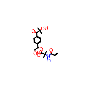 C=CC(=O)NC(C)(C)C(=O)OC(CO)c1ccc(C(=O)C(C)(C)O)cc1